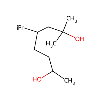 CC(O)CCC(CC(C)(C)O)C(C)C